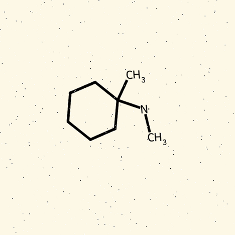 C[N]C1(C)CCCCC1